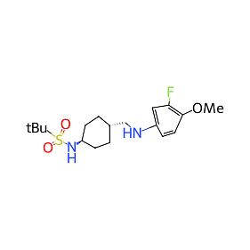 COc1ccc(NC[C@H]2CC[C@H](NS(=O)(=O)C(C)(C)C)CC2)cc1F